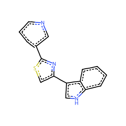 c1cncc(-c2nc(-c3c[nH]c4ccccc34)cs2)c1